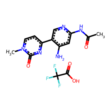 CC(=O)Nc1cc(N)c(-c2ccn(C)c(=O)n2)cn1.O=C(O)C(F)(F)F